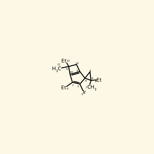 CCC1=[C]([Ir])C2(CC2(C)CC)C2=C1C(C)(CC)C2